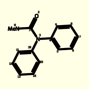 [CH2]NC(=O)N(c1ccccc1)c1ccccc1